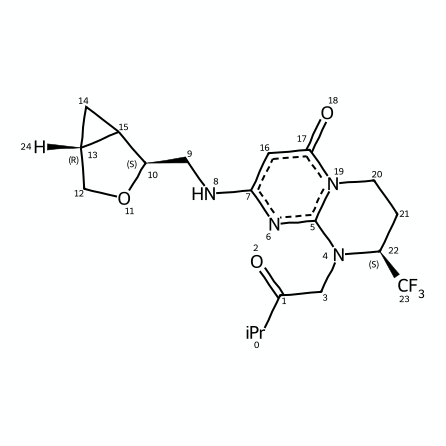 CC(C)C(=O)CN1c2nc(NC[C@H]3OC[C@@H]4CC43)cc(=O)n2CC[C@H]1C(F)(F)F